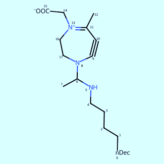 CCCCCCCCCCCCCCNC(C)N1C#CC(C)=[N+](CC(=O)[O-])CC1